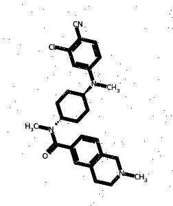 CN1CCc2cc(C(=O)N(C)[C@H]3CC[C@H](N(C)c4ccc(C#N)c(Cl)c4)CC3)ccc2C1